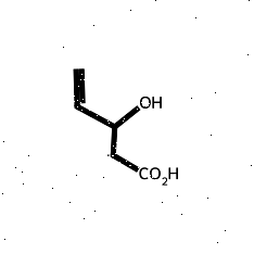 C=CC(O)[CH]C(=O)O